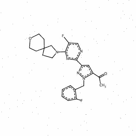 CC(=O)c1cc(-c2ncc(F)c(N3CCC4(CCOCC4)C3)n2)nn1Cc1ccccc1F